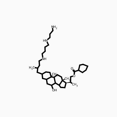 CC(CCNCCCCNCCCN)CC1CC[C@@]2(C)C(C1)CC(O)C1C2CC[C@@]2(C)C1CC[C@@H]2C(C)COC(=O)C1CCCCC1